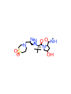 CNC(=O)C1CC(O)CN1C(=O)[C@@H](n1cc(CN2CCCS(=O)(=O)CC2)nn1)C(C)(C)C